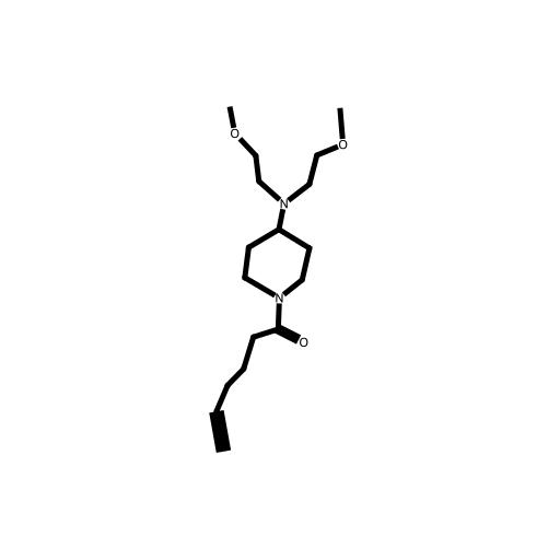 C#CCCCC(=O)N1CCC(N(CCOC)CCOC)CC1